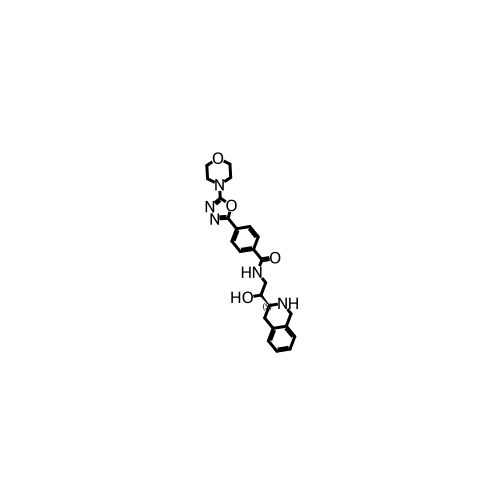 O=C(NCC(O)[C@@H]1Cc2ccccc2CN1)c1ccc(-c2nnc(N3CCOCC3)o2)cc1